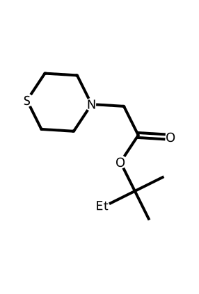 CCC(C)(C)OC(=O)CN1CCSCC1